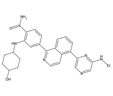 CCNc1cncc(-c2cccc3c(-c4ccc(C(N)=O)c(NC5CCC(O)CC5)c4)nccc23)n1